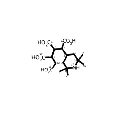 CC1(C)CC(C(C(=O)O)C(C(=O)O)C(CC(=O)O)C(=O)O)CC(C)(C)N1